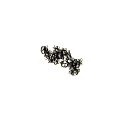 COc1cc(-c2nccc(-c3cccc(-c4ccc(CN(C)C5CCN(C(C)=O)CC5)c(OC)n4)c3Cl)c2Cl)ccc1CN(C(=O)OC(C)(C)C)C1CCOCC1